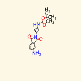 CC(C)(C)OC(=O)NC12CC(N3C(=O)c4ccc(N)cc4C3=O)(C1)C2